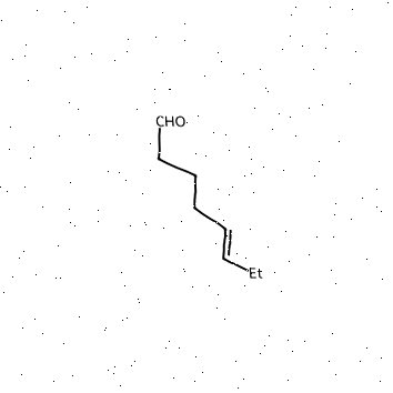 CCC=CCCCC=O